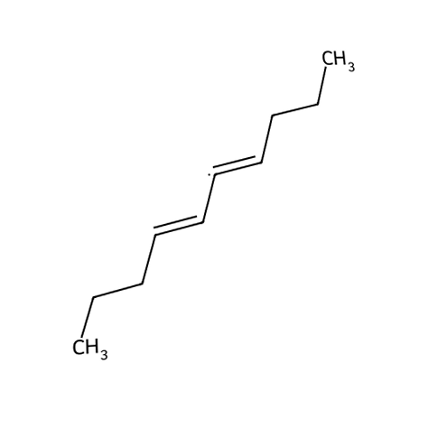 CCCC=[C]C=CCCC